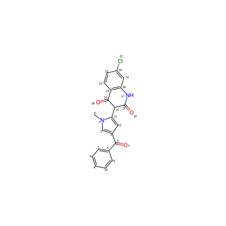 Cn1cc(C(=O)c2ccccc2)cc1C1C(=O)Nc2cc(Cl)ccc2C1=O